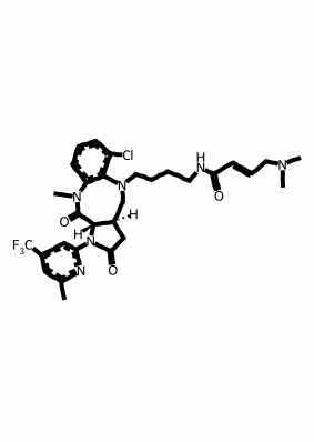 Cc1cc(C(F)(F)F)cc(N2C(=O)C[C@@H]3CN(CCCCNC(=O)/C=C/CN(C)C)c4c(Cl)cccc4N(C)C(=O)[C@H]32)n1